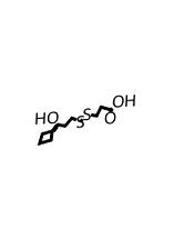 O=C(O)CCSSCCC(O)=C1CCC1